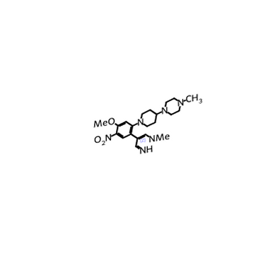 CN/C=C(\C=N)c1cc([N+](=O)[O-])c(OC)cc1N1CCC(N2CCN(C)CC2)CC1